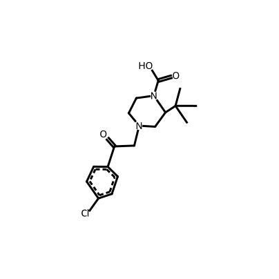 CC(C)(C)C1CN(CC(=O)c2ccc(Cl)cc2)CCN1C(=O)O